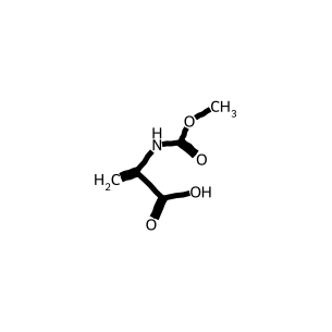 C=C(NC(=O)OC)C(=O)O